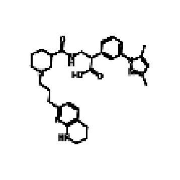 Cc1cc(C)n(-c2cccc(C(CNC(=O)C3CCCN(CCCc4ccc5c(n4)NCCC5)C3)C(=O)O)c2)n1